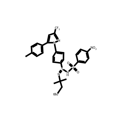 Cc1ccc(-c2cc(C(F)(F)F)nn2-c2ccc(S(=NC(C)(C)CC(C)(C)C)NS(=O)(=O)c3ccc([N+](=O)[O-])cc3)cc2)cc1